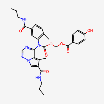 CCCNC(=O)c1ccc(C)c(N(C(=O)OCOC(=O)c2ccc(O)cc2)c2ncnn3cc(C(=O)NCCC)c(C)c23)c1